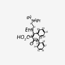 CCN(CCN(C(C)C)C(C)C)c1c(C(=O)O)c(=O)n(-c2ccccc2)c2ccccc12